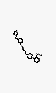 COc1ccccc1N1CCN(CCCCOc2cccc(Cn3ccnc3)c2)CC1